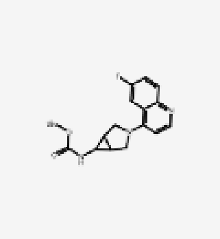 CC(C)(C)OC(=O)NC1C2CN(c3ccnc4ccc(F)cc34)CC21